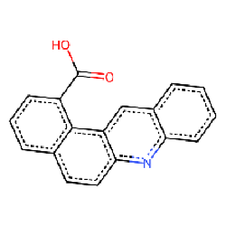 O=C(O)c1cccc2ccc3nc4ccccc4cc3c12